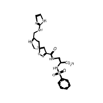 O=C(NCC(NS(=O)(=O)c1ccccc1)C(=O)O)C1=NO[C@]2(CNC(CNC3=NCCN3)C2)C1